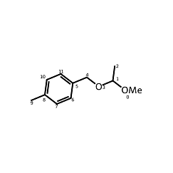 COC(C)OCc1ccc(C)cc1